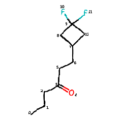 CCCC(=O)CCC1CC(F)(F)C1